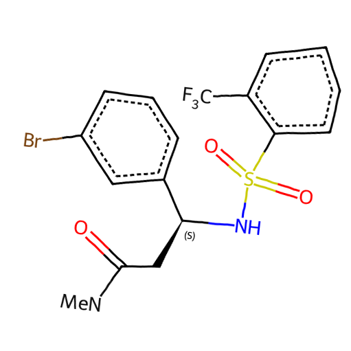 CNC(=O)C[C@H](NS(=O)(=O)c1ccccc1C(F)(F)F)c1cccc(Br)c1